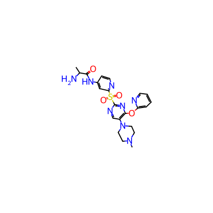 CC(N)C(=O)Nc1ccnc(S(=O)(=O)c2ncc(N3CCN(C)CC3)c(Oc3ccccn3)n2)c1